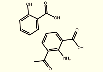 CC(=O)c1cccc(C(=O)O)c1N.O=C(O)c1ccccc1O